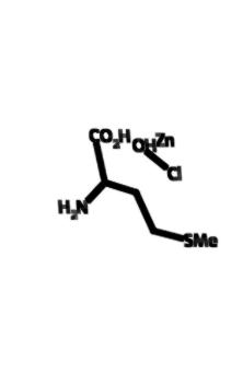 CSCCC(N)C(=O)O.OCl.[Zn]